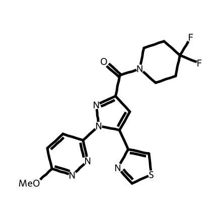 COc1ccc(-n2nc(C(=O)N3CCC(F)(F)CC3)cc2-c2cscn2)nn1